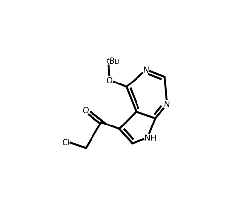 CC(C)(C)Oc1ncnc2[nH]cc(C(=O)CCl)c12